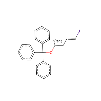 CCCCCC(CC=CI)OC(c1ccccc1)(c1ccccc1)c1ccccc1